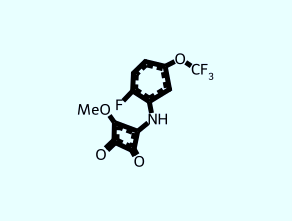 COc1c(Nc2cc(OC(F)(F)F)ccc2F)c(=O)c1=O